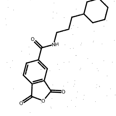 O=C(NCCCC1CCCCC1)c1ccc2c(c1)C(=O)OC2=O